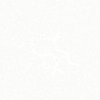 CC1(C)OCC(CO)O1.CCCCC(=O)O